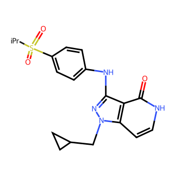 CC(C)S(=O)(=O)c1ccc(Nc2nn(CC3CC3)c3cc[nH]c(=O)c23)cc1